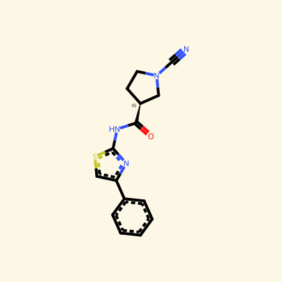 N#CN1CC[C@H](C(=O)Nc2nc(-c3ccccc3)cs2)C1